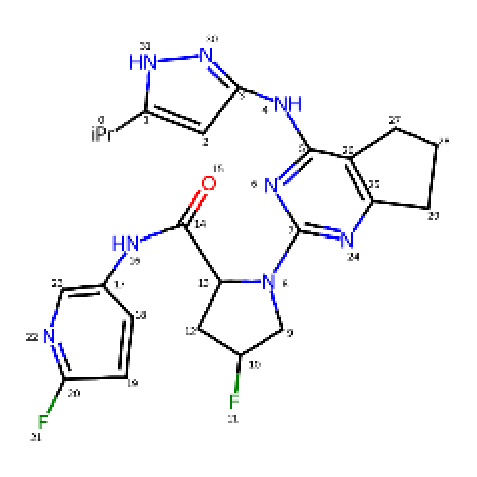 CC(C)c1cc(Nc2nc(N3CC(F)CC3C(=O)Nc3ccc(F)nc3)nc3c2CCC3)n[nH]1